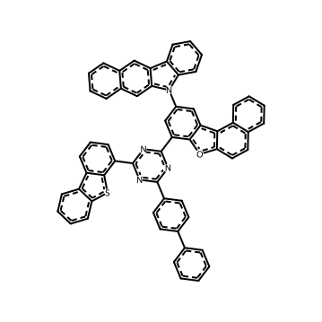 c1ccc(-c2ccc(-c3nc(-c4cc(-n5c6ccccc6c6cc7ccccc7cc65)cc5c4oc4ccc6ccccc6c45)nc(-c4cccc5c4sc4ccccc45)n3)cc2)cc1